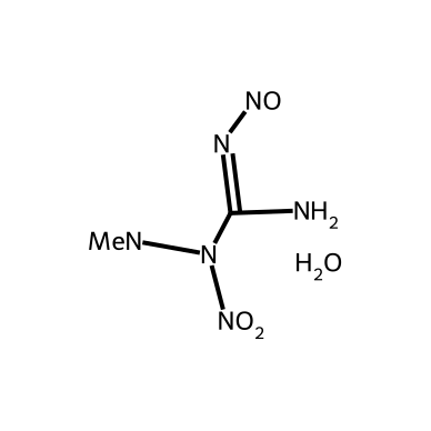 CNN(C(N)=NN=O)[N+](=O)[O-].O